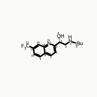 CC(C)(C)NC[C@@H](O)c1ccc2ccc(C(F)(F)F)cc2n1